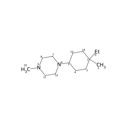 CCC1(C)CCC(N2CCN(C)CC2)CC1